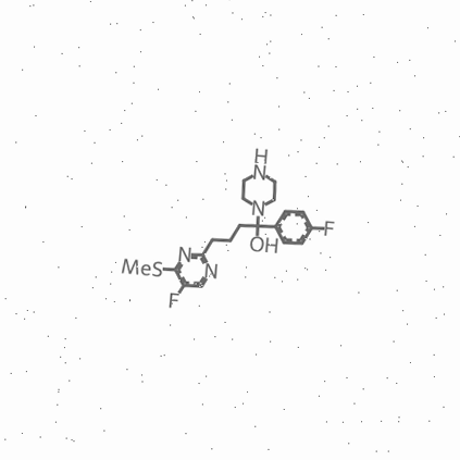 CSc1nc(CCCC(O)(c2ccc(F)cc2)N2CCNCC2)ncc1F